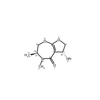 CCC[C@H]1COC2=C1C(=O)N(C)[C@@H](C)CO2